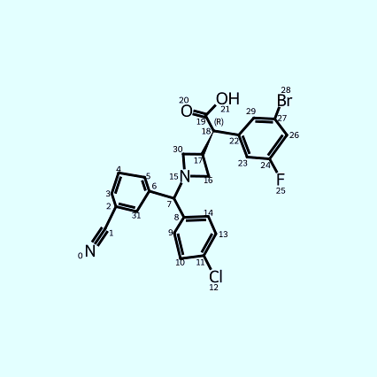 N#Cc1cccc(C(c2ccc(Cl)cc2)N2CC([C@@H](C(=O)O)c3cc(F)cc(Br)c3)C2)c1